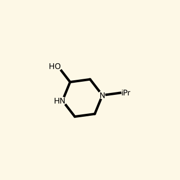 CC(C)N1CCNC(O)C1